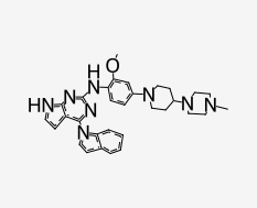 COc1cc(N2CCC(N3CCN(C)CC3)CC2)ccc1Nc1nc(-n2ccc3ccccc32)c2cc[nH]c2n1